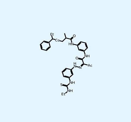 CCNC(=S)Nc1cccc(N/N=C(/C(C)=O)C(=O)Nc2cccc(NC(=O)C(C)[CH2][Co][CH](CC)c3ccccc3)c2)c1